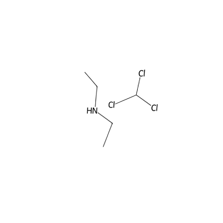 CCNCC.ClC(Cl)Cl